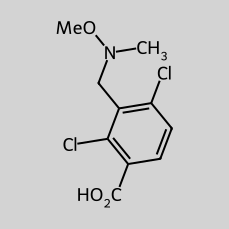 CON(C)Cc1c(Cl)ccc(C(=O)O)c1Cl